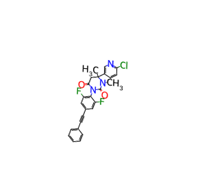 CN1C(=O)N(c2c(F)cc(C#Cc3ccccc3)cc2F)C(=O)CC1(C)c1ccc(Cl)nc1